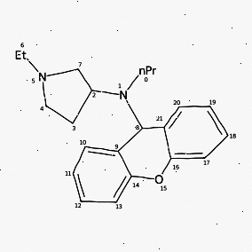 CCCN(C1CCN(CC)C1)C1c2ccccc2Oc2ccccc21